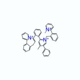 Cc1cc(-c2ccccc2C2=CCc3ccccc3-c3cccc[n+]32)[n+](Cc2ccccc2-c2cccc[n+]2C)cc1-c1ccccc1